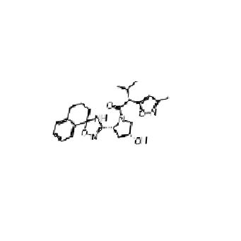 Cc1cc([C@@H](C(=O)N2C[C@H](O)C[C@@H]2C2=NOC3(CCCc4ccccc43)N2)C(C)C)on1